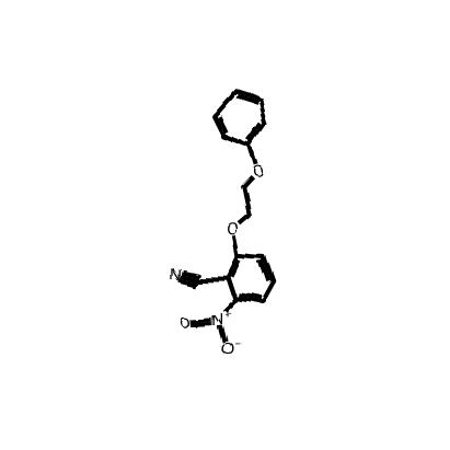 N#Cc1c(OCCOc2ccccc2)cccc1[N+](=O)[O-]